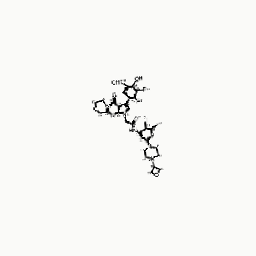 O=Cc1cc(-c2cn(CC(=O)Nc3cc(N4CCN(C5COC5)CC4)nc(F)c3Cl)c3nc4n(c(=O)c23)CCOC4)c(F)c(F)c1O